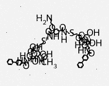 CC(=O)N[C@H]1[C@H]([C@H](O)[C@H](O)CNC(=O)c2ccc(-c3ccccc3)cc2)O[C@@](OCCCSCCNC(=O)c2ccc(C(=O)NCCSCCCO[C@]3(C(=O)O)C[C@H](O)C[C@H]([C@H](O)[C@H](O)CNC(=O)c4ccc(-c5ccccc5)cc4)O3)cc2OCCCN)(C(=O)O)C[C@@H]1O